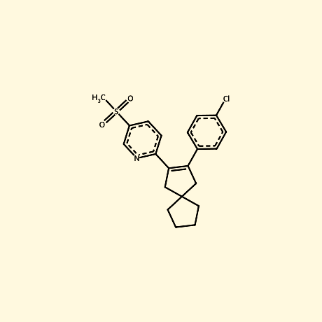 CS(=O)(=O)c1ccc(C2=C(c3ccc(Cl)cc3)CC3(CCCC3)C2)nc1